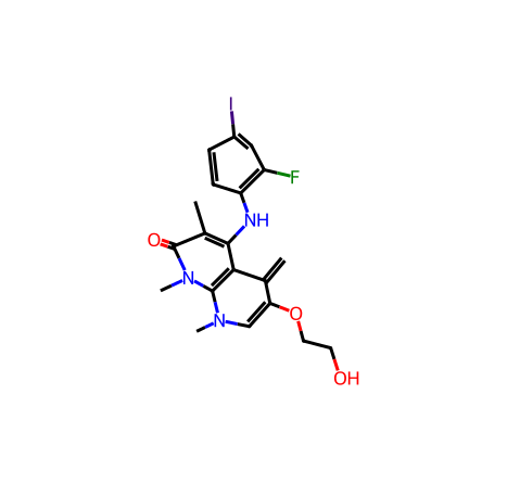 C=C1C(OCCO)=CN(C)c2c1c(Nc1ccc(I)cc1F)c(C)c(=O)n2C